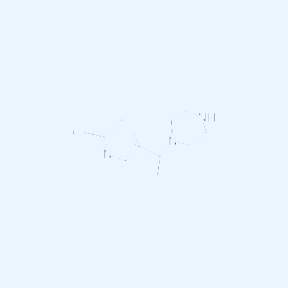 CC(c1ccc(Cl)nc1)N1CCNCC1